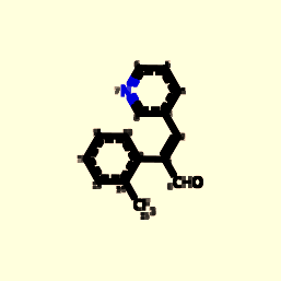 O=CC(=Cc1cccnc1)c1ccccc1C(F)(F)F